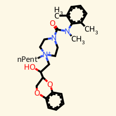 CCCCC[N+]1(CC(O)C2COc3ccccc3O2)CCN(C(=O)N(C)c2c(C)cccc2C)CC1